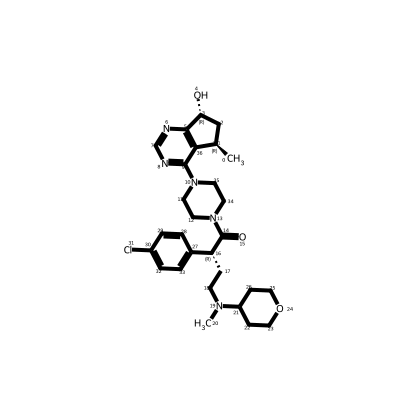 C[C@@H]1C[C@@H](O)c2ncnc(N3CCN(C(=O)[C@H](CCN(C)C4CCOCC4)c4ccc(Cl)cc4)CC3)c21